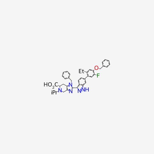 CCc1cc(OCc2ccccc2)c(F)cc1-c1ccc2c(-c3nc4c(n3Cc3ccccc3)CC(C(=O)O)N(C(C)C)C4)n[nH]c2c1